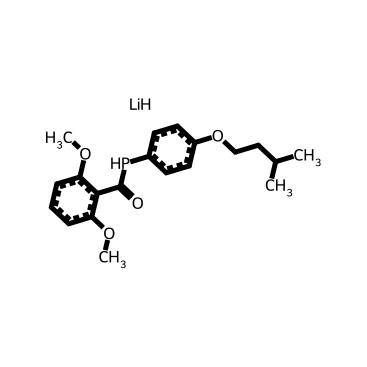 COc1cccc(OC)c1C(=O)Pc1ccc(OCCC(C)C)cc1.[LiH]